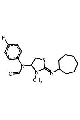 CN1C(=NC2CCCCCC2)SCC1N(C=O)c1ccc(F)cc1